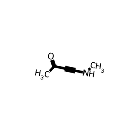 CNC#CC(C)=O